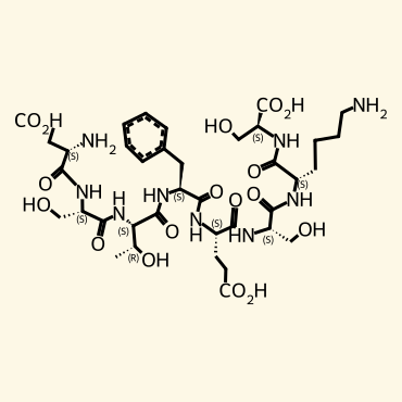 C[C@@H](O)[C@H](NC(=O)[C@H](CO)NC(=O)[C@@H](N)CC(=O)O)C(=O)N[C@@H](Cc1ccccc1)C(=O)N[C@@H](CCC(=O)O)C(=O)N[C@@H](CO)C(=O)N[C@@H](CCCCN)C(=O)N[C@@H](CO)C(=O)O